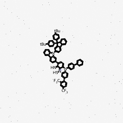 CC(C)(C)c1ccc(C2(c3ccc(C(C)(C)C)cc3)c3ccccc3-c3ccc(-n4c5ccccc5c5ccc(C6=CC=C(N(c7ccc(-c8ccccc8)cc7)c7ccc(-c8ccc(C(F)(F)F)cc8C(F)(F)F)cc7)/C(=N/S)C6=N)cc54)cc32)cc1